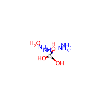 N.N.N.N.O.OB(O)O